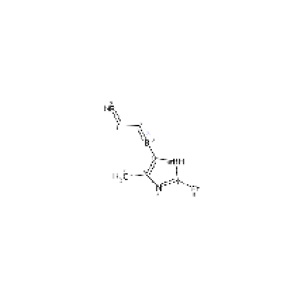 B=C/C=B\C1=C(C)N=C(CC)B1